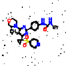 CC(C)NC(=O)Nc1ccc(-c2nc(N3CCOC[C@@H]3C)cc(C3(S(=O)(=O)c4ccncc4)CC3)n2)cc1